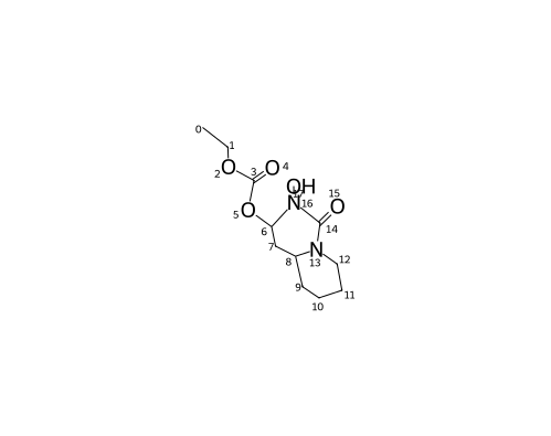 CCOC(=O)OC1CC2CCCCN2C(=O)N1O